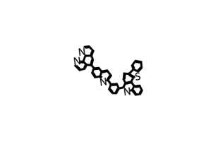 c1cc(-c2ccc3cc(-c4cc5cccnc5c5ncccc45)ccc3n2)cc(-c2nc3ccccc3c3c2ccc2c4ccccc4sc23)c1